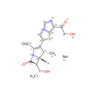 C[C@@H](O)[C@H]1C(=O)N2C(C(=O)[O-])=C(c3cn4cnc(C(=O)CO)c4s3)[C@H](C)[C@H]12.[Na+]